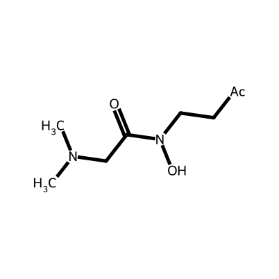 CC(=O)CCN(O)C(=O)CN(C)C